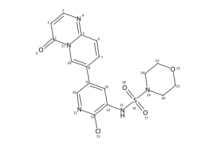 O=c1ccnc2ccc(-c3cnc(Cl)c(NS(=O)(=O)N4CCOCC4)c3)cn12